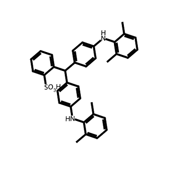 Cc1cccc(C)c1Nc1ccc(C(c2ccc(Nc3c(C)cccc3C)cc2)c2ccccc2S(=O)(=O)O)cc1